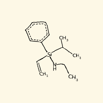 C=C[Si](NCC)(c1ccccc1)C(C)C